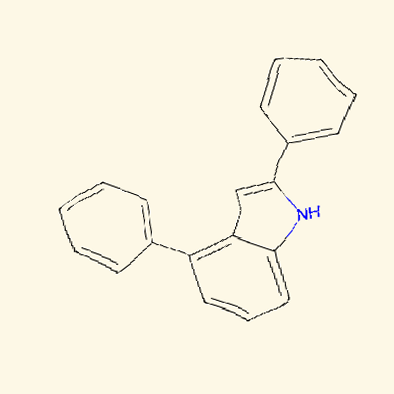 c1ccc(-c2cc3c(-c4ccccc4)cccc3[nH]2)cc1